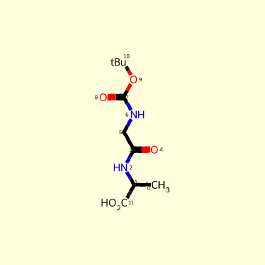 CC(NC(=O)CNC(=O)OC(C)(C)C)C(=O)O